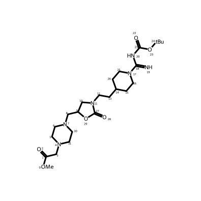 COC(=O)CN1CCN(CC2CN(CCC3CCN(C(=N)NC(=O)OC(C)(C)C)CC3)C(=O)O2)CC1